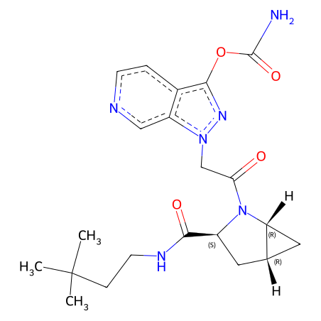 CC(C)(C)CCNC(=O)[C@@H]1C[C@H]2C[C@H]2N1C(=O)Cn1nc(OC(N)=O)c2ccncc21